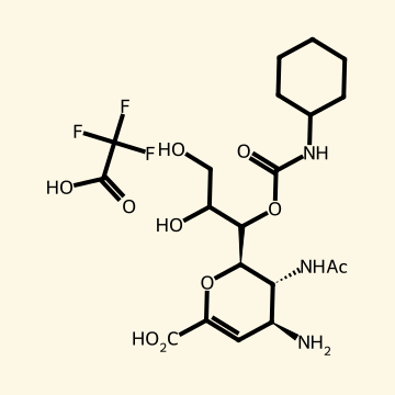 CC(=O)N[C@@H]1[C@@H](N)C=C(C(=O)O)O[C@H]1C(OC(=O)NC1CCCCC1)C(O)CO.O=C(O)C(F)(F)F